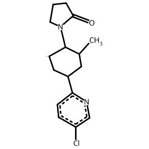 CC1CC(c2ccc(Cl)cn2)C[CH]C1N1CCCC1=O